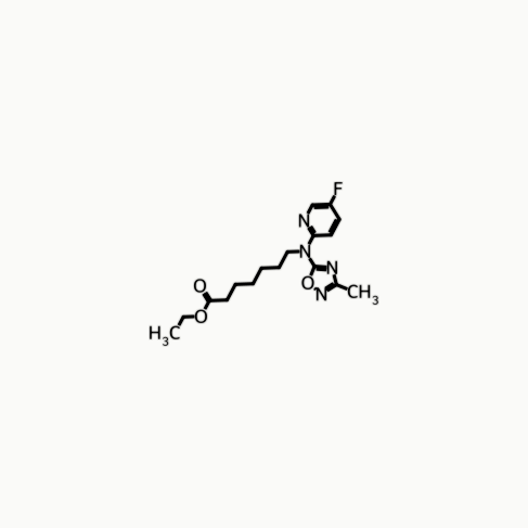 CCOC(=O)CCCCCCN(c1ccc(F)cn1)c1nc(C)no1